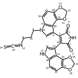 O=C1NC(=O)C(c2cn(CCCN=C=S)c3ccc4c(c23)OCO4)=C1c1c[nH]c2ccc3c(c12)OCO3